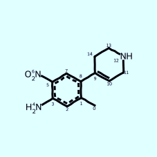 Cc1cc(N)c([N+](=O)[O-])cc1C1=CCNCC1